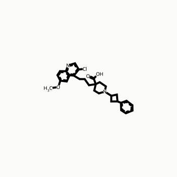 COc1ccc2ncc(Cl)c(CCCC3(C(=O)O)CCN(C4CC(c5ccccc5)C4)CC3)c2c1